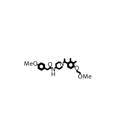 COCCOc1ccc(C(C)N2CCC(NC(=O)Cc3ccc(OC)cc3)CC2)c(C)c1C